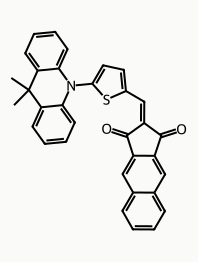 CC1(C)c2ccccc2N(c2ccc(C=C3C(=O)c4cc5ccccc5cc4C3=O)s2)c2ccccc21